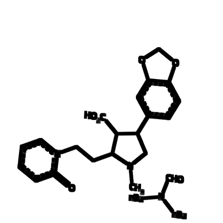 CCCCN(C=O)CCCC.CN1CC(c2ccc3c(c2)OCO3)C(C(=O)O)C1CCn1ccccc1=O